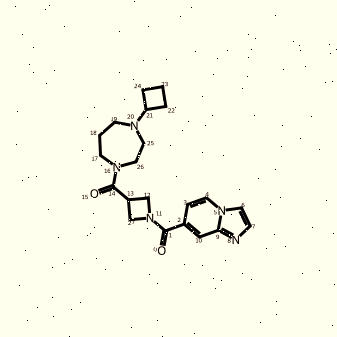 O=C(c1ccn2ccnc2c1)N1CC(C(=O)N2CCCN(C3CCC3)CC2)C1